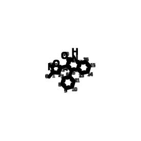 Cc1cc(-c2c(-c3ccccc3)c3ccccc3[nH]c2=O)on1